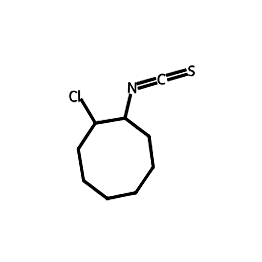 S=C=NC1CCCCCCC1Cl